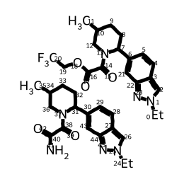 CCn1cc2ccc(C3CCC(C)CN3C(=O)C(=O)OCC(F)(F)F)cc2n1.CCn1cc2ccc(C3CCC(C)CN3C(=O)C(N)=O)cc2n1